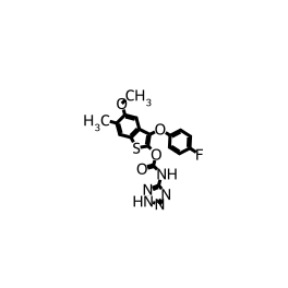 COc1cc2c(Oc3ccc(F)cc3)c(OC(=O)Nc3nn[nH]n3)sc2cc1C